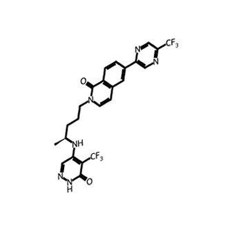 C[C@@H](CCCn1ccc2cc(-c3cnc(C(F)(F)F)cn3)ccc2c1=O)Nc1cn[nH]c(=O)c1C(F)(F)F